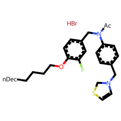 Br.CCCCCCCCCCCCCCOc1ccc(CN(C(C)=O)c2ccc(CN3C=CSC3)cc2)cc1F